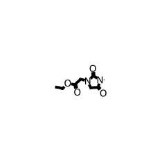 CCOC(=O)CN1CC(=O)[N]C1=O